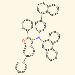 c1ccc(-c2ccc3c(N(c4ccc(-c5cccc6ccccc56)cc4)c4cc5ccccc5c5ccccc45)c(-c4ccccc4)oc3c2)cc1